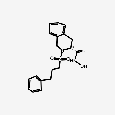 O=C(NO)[C@H]1Cc2ccccc2CN1S(=O)(=O)CCCc1ccccc1